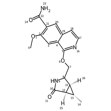 COc1cc2c(OCC3NC(=O)[C@@H]4[C@@H](C)[C@H]34)nccc2cc1C(N)=O